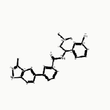 Cc1n[nH]c2ccc(-c3cccc(C(=O)NC(CN(C)C)c4cccc(S)c4)c3)cc12